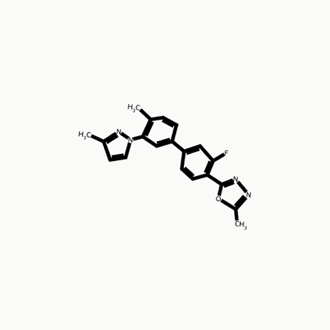 Cc1ccn(-c2cc(-c3ccc(-c4nnc(C)o4)c(F)c3)ccc2C)n1